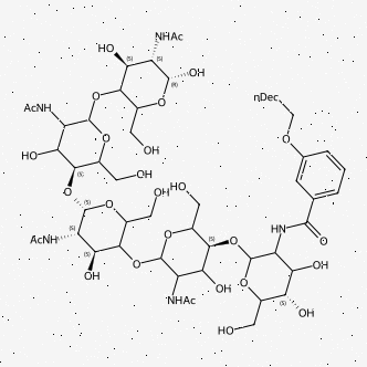 CCCCCCCCCCCOc1cccc(C(=O)NC2C(O[C@@H]3C(CO)OC(OC4C(CO)O[C@@H](O[C@@H]5C(CO)OC(OC6C(CO)O[C@@H](O)[C@@H](NC(C)=O)[C@@H]6O)C(NC(C)=O)C5O)[C@@H](NC(C)=O)[C@@H]4O)C(NC(C)=O)C3O)OC(CO)[C@@H](O)C2O)c1